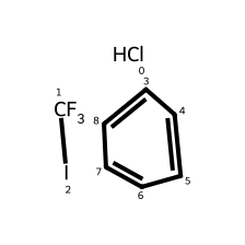 Cl.FC(F)(F)I.c1ccccc1